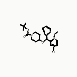 CO[n+]1ccc(Cl)cc1C(OC1CCN(C(=O)OC(C)(C)C)CC1)c1ccccc1